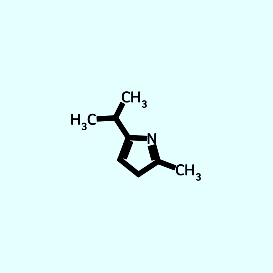 CC1=NC(C(C)C)=CC1